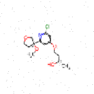 CO[C@@]1(c2cc(OCC[C@H](C)O)cc(Cl)n2)CCOC1